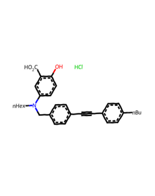 CCCCCCN(Cc1ccc(C#Cc2ccc(CCCC)cc2)cc1)c1ccc(O)c(C(=O)O)c1.Cl